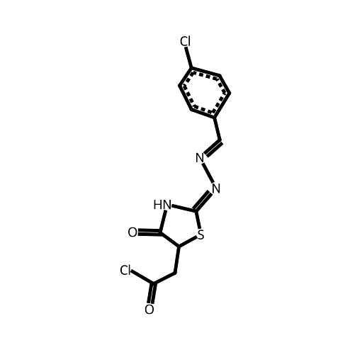 O=C(Cl)CC1SC(=NN=Cc2ccc(Cl)cc2)NC1=O